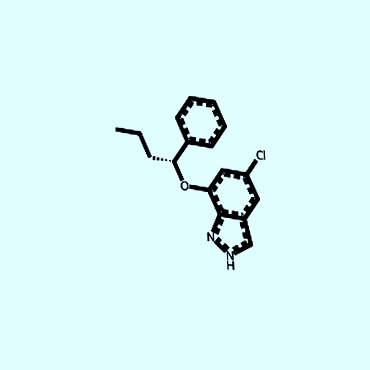 CCC[C@@H](Oc1cc(Cl)cc2c[nH]nc12)c1ccccc1